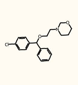 Clc1ccc(C(OCCN2CCCOC2)c2ccccc2)cc1